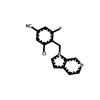 N#Cc1cc(F)c(Cn2ccc3ccncc32)c(Cl)c1